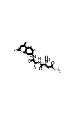 Cc1cc(=O)oc2cc(NC(=O)[C@H](C)NC(=O)[C@H](N)CC(N)=O)ccc12